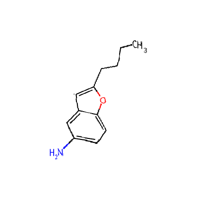 CCCCc1[c]c2cc(N)ccc2o1